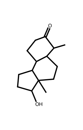 CC1C(=O)CCC2C1CCC1(C)C(O)CCC21